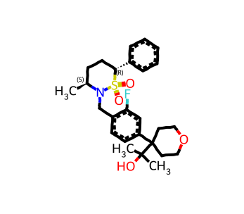 C[C@H]1CC[C@H](c2ccccc2)S(=O)(=O)N1Cc1ccc(C2(C(C)(C)O)CCOCC2)cc1F